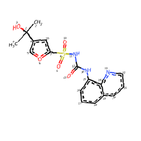 CC(C)(O)c1coc(S(=O)(=O)NC(=O)Nc2cccc3cccnc23)c1